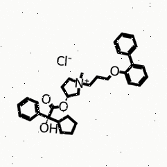 C[N+]1(CCCOc2ccccc2-c2ccccc2)CC[C@@H](OC(=O)[C@](O)(c2ccccc2)C2CCCC2)C1.[Cl-]